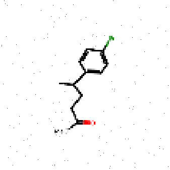 COC(=O)CCC(C)c1ccc(Br)cc1